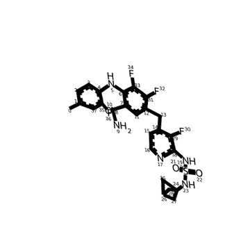 Cc1ccc(Nc2c(C(N)=O)cc(Cc3ccnc(NS(=O)(=O)NC45CC(C4)C5)c3F)c(F)c2F)c(F)c1